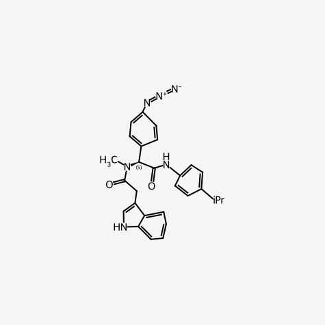 CC(C)c1ccc(NC(=O)[C@H](c2ccc(N=[N+]=[N-])cc2)N(C)C(=O)Cc2c[nH]c3ccccc23)cc1